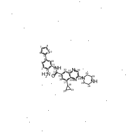 Nc1ccc(-c2cccs2)cc1NC(=O)c1cc(C2CC2)c2nc(N3CCNCC3)cnc2c1